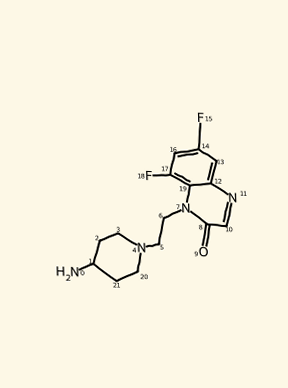 NC1CCN(CCn2c(=O)cnc3cc(F)cc(F)c32)CC1